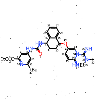 CCOC(=O)c1cc(NC(=O)NC2CCC(Oc3ccc(=N)n(C(=N)N(CC)CC)c3)c3ccccc32)cc(C(C)(C)C)n1